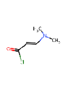 CN(C)/C=C/C(=O)Cl